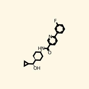 O=C(N[C@H]1CC[C@H]([C@H](O)C2CC2)CC1)c1ccc(-c2cccc(F)c2)nc1